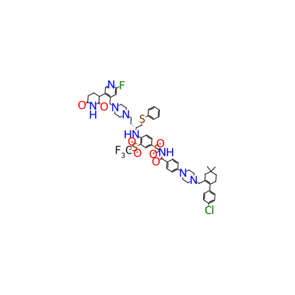 CC1(C)CCC(c2ccc(Cl)cc2)=C(CN2CCN(c3ccc(C(=O)NS(=O)(=O)c4ccc(N[C@H](CCN5CCN(Cc6cc(F)ncc6C6CCC(=O)NC6=O)CC5)CSc5ccccc5)c(S(=O)(=O)C(F)(F)F)c4)cc3)CC2)C1